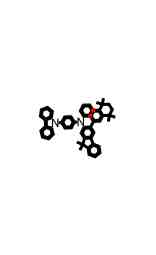 CC1(C)CCC(C)(C)c2cc(-c3cc4c(cc3N(c3ccccc3)c3ccc(-n5c6ccccc6c6ccccc65)cc3)C(C)(C)c3ccccc3-4)ccc21